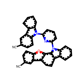 N#Cc1ccc2oc3c(ccc4c5ccccc5n(-c5cccc(-n6c7ccccc7c7cc(C#N)ccc76)n5)c43)c2c1